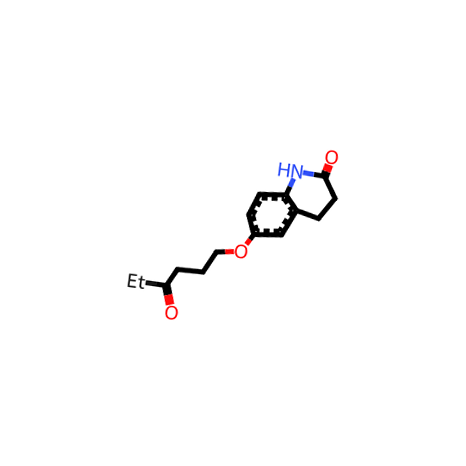 CCC(=O)CCCOc1ccc2c(c1)CCC(=O)N2